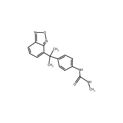 CNC(=O)Nc1ccc(C(C)(C)c2cccc3nonc23)cc1